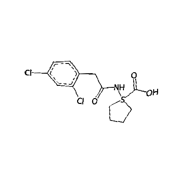 O=C(Cc1ccc(Cl)cc1Cl)NS1(C(=O)O)CCCC1